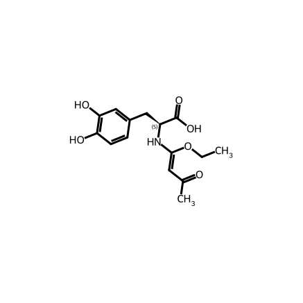 CCOC(=CC(C)=O)N[C@@H](Cc1ccc(O)c(O)c1)C(=O)O